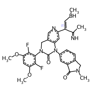 CB/C=C(\C(C)=N)c1cc2c(cn1)CN(c1c(F)c(OC)cc(OC)c1F)C(=O)N2c1ccc2c(c1)C(=O)N(C)C2